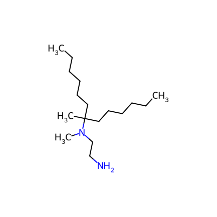 CCCCCCC(C)(CCCCCC)N(C)CCN